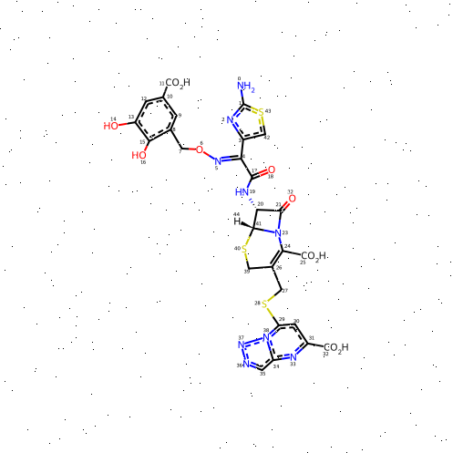 Nc1nc(C(=NOCc2cc(C(=O)O)cc(O)c2O)C(=O)N[C@@H]2C(=O)N3C(C(=O)O)=C(CSc4cc(C(=O)O)nc5cnnn45)CS[C@H]23)cs1